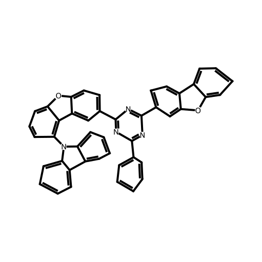 c1ccc(-c2nc(-c3ccc4c(c3)oc3ccccc34)nc(-c3ccc4oc5cccc(-n6c7ccccc7c7ccccc76)c5c4c3)n2)cc1